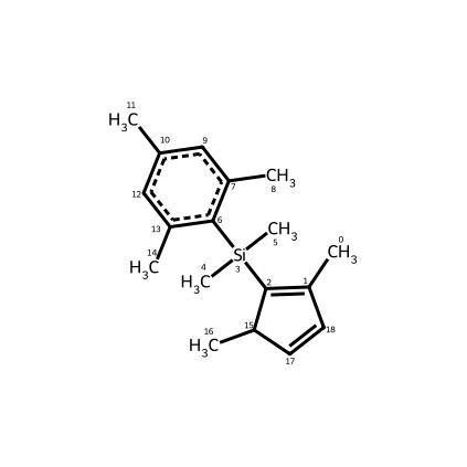 CC1=C([Si](C)(C)c2c(C)cc(C)cc2C)C(C)C=C1